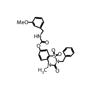 COc1cccc(CNC(=O)Oc2ccc3c(c2)S(=O)(=O)N(Cc2ccccc2)C(=O)N3C)c1